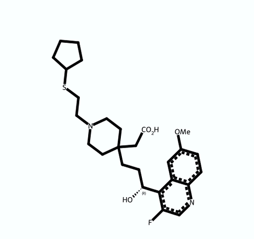 COc1ccc2ncc(F)c([C@H](O)CCC3(CC(=O)O)CCN(CCSC4CCCC4)CC3)c2c1